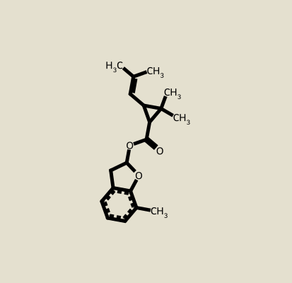 CC(C)=CC1C(C(=O)OC2Cc3cccc(C)c3O2)C1(C)C